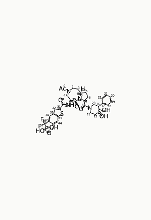 CC(=O)N1CC[C@H]2CC[C@@H](C(=O)N3CCS(O)(O)C(c4ccccc4)C3)N2C(=O)[C@@H](NC(=O)c2cc3cc(C(F)(F)P(=O)(O)O)ccc3s2)C1